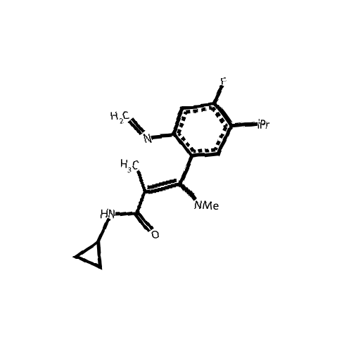 C=Nc1cc(F)c(C(C)C)cc1/C(NC)=C(\C)C(=O)NC1CC1